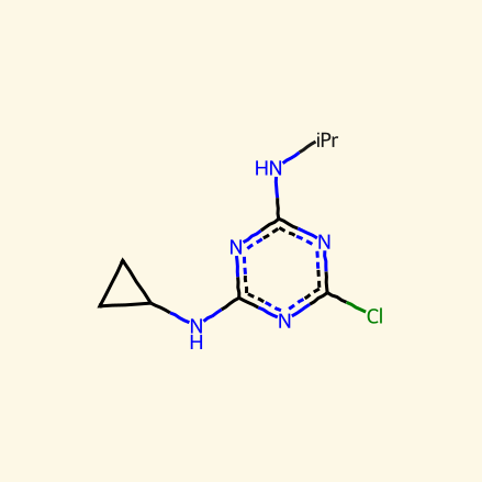 CC(C)Nc1nc(Cl)nc(NC2CC2)n1